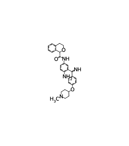 CN1CCC(Oc2ccc(C(=N)c3cc(NC(=O)C4OCCc5ccccc54)ccc3N)cc2)CC1